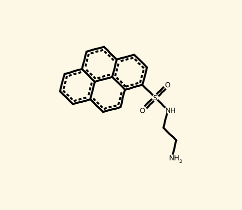 NCCNS(=O)(=O)c1ccc2ccc3cccc4ccc1c2c34